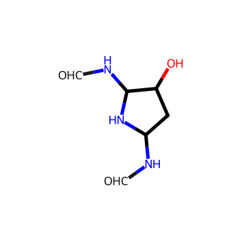 O=CNC1CC(O)C(NC=O)N1